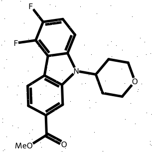 COC(=O)c1ccc2c3c(F)c(F)ccc3n(C3CCOCC3)c2c1